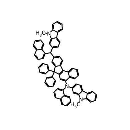 Cn1c2ccccc2c2ccc(C(c3ccc4c(c3)C(c3ccccc3)(c3ccccc3)c3cc(N(c5ccc6c7ccccc7n(C)c6c5)c5cccc6ccccc56)c5ccccc5c3-4)c3cccc4ccccc34)cc21